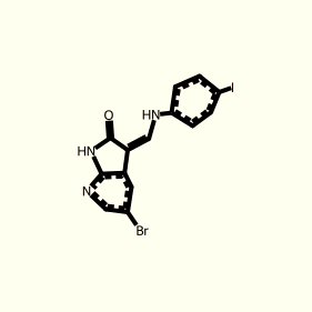 O=C1Nc2ncc(Br)cc2C1=CNc1ccc(I)cc1